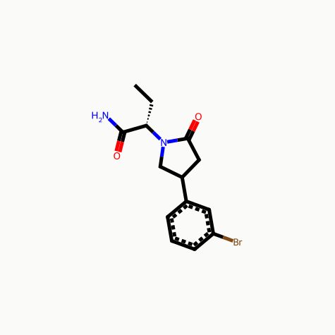 CC[C@@H](C(N)=O)N1CC(c2cccc(Br)c2)CC1=O